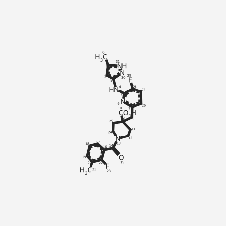 Cc1cc(Nc2nc(CC3(C(=O)O)CCN(C(=O)c4cccc(C)c4F)CC3)ccc2F)n[nH]1